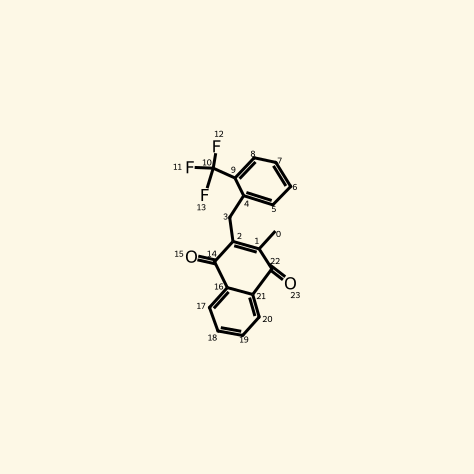 CC1=C(Cc2ccccc2C(F)(F)F)C(=O)c2ccccc2C1=O